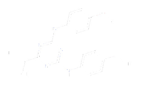 COc1ccc(Nc2nc(Nc3ccc(OC)cc3)nc(C(C)C)n2)cc1